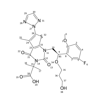 COc1ccc(F)cc1[C@H](Cn1c(=O)n(C(C)(C)C(=O)O)c(=O)c2c(C)c(-n3nccn3)sc21)OCCCO